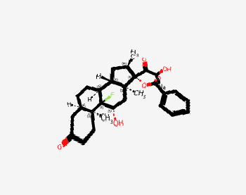 C[C@@H]1C[C@H]2[C@@H]3CC[C@@H]4CC(=O)CC[C@]4(C)[C@@]3(F)[C@@H](O)C[C@]2(C)[C@]1(OC(=O)c1ccccc1)C(=O)[CH](O)[Na]